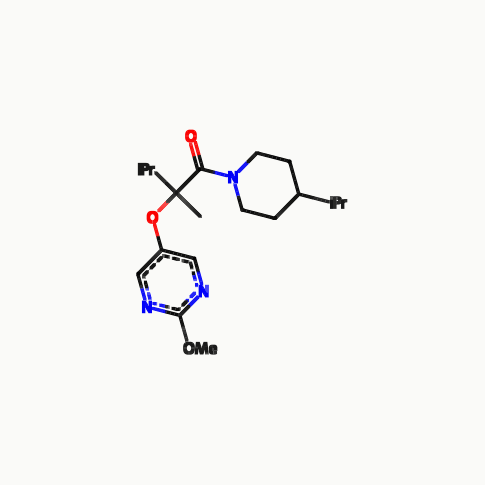 COc1ncc(OC(C)(C(=O)N2CCC(C(C)C)CC2)C(C)C)cn1